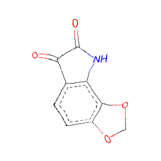 O=C1Nc2c(ccc3c2OCO3)C1=O